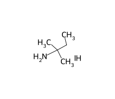 CCC(C)(C)N.I